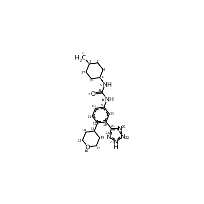 C[C@H]1CC[C@@H](NC(=O)Nc2ccc(C3CCOCC3)c(-c3nn[nH]n3)c2)CC1